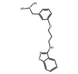 CCCN(CCC)Cc1cccc(OCCCNc2nsc3ccccc23)c1